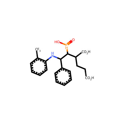 O=C(O)CCC(C(=O)O)C(C(Nc1ccccc1C(F)(F)F)c1ccccc1)[PH](=O)O